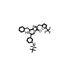 CC(C)(C)[Si](C)(C)Oc1cccc(-c2cn3c(=O)c(Cc4ccc(C(F)(F)F)o4)nc-3c(Cc3ccccc3)[nH]2)c1